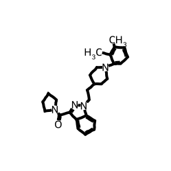 Cc1cccc(N2CCC(CCn3nc(C(=O)N4CCCC4)c4ccccc43)CC2)c1C